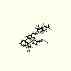 CC(C)c1nc(C(=O)NCc2ccc(-c3ccnc4[nH]nc(N5CC[C@@H](N)C5)c34)cc2F)co1